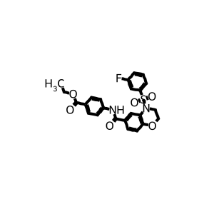 CCOC(=O)c1ccc(NC(=O)c2ccc3c(c2)N(S(=O)(=O)c2cccc(F)c2)CCO3)cc1